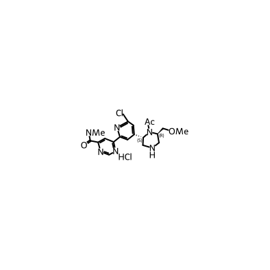 CNC(=O)c1cc(-c2cc([C@H]3CNC[C@H](COC)N3C(C)=O)cc(Cl)n2)ncn1.Cl